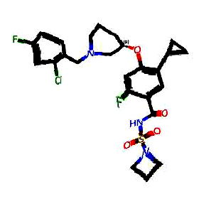 O=C(NS(=O)(=O)N1CCC1)c1cc(C2CC2)c(O[C@@H]2CCCN(Cc3ccc(F)cc3Cl)C2)cc1F